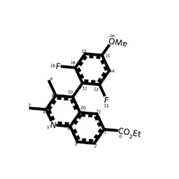 CCOC(=O)c1ccc2nc(C)c(C)c(-c3c(F)cc(OC)cc3F)c2c1